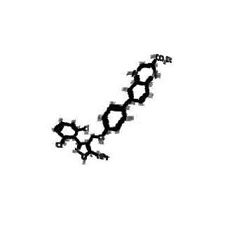 CCCc1onc(-c2c(Cl)cccc2Cl)c1COc1ccc(-c2ccc3nc(C(=O)OCC)cnc3c2)cc1